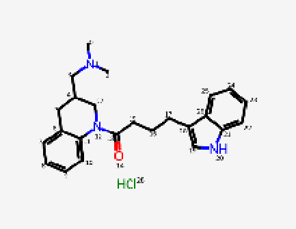 CN(C)CC1Cc2ccccc2N(C(=O)CCCc2c[nH]c3ccccc23)C1.Cl